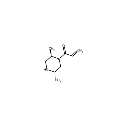 C=CC(=O)N1C[C@H](C)NC[C@H]1C